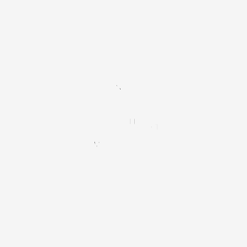 O.[Cl-].[Cl-].[Mg+2].c1ccncc1